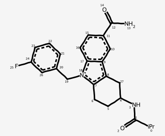 CC(C)C(=O)NC1CCc2c(c3cc(C(N)=O)ccc3n2Cc2cccc(F)c2)C1